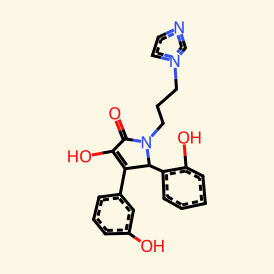 O=C1C(O)=C(c2cccc(O)c2)C(c2ccccc2O)N1CCCn1ccnc1